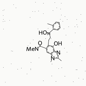 CNC(=O)c1cc2c(nc(C)n2C)c(O)c1CC[C@@H](O)c1ccccc1C